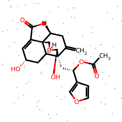 C=C1C[C@H]2OC(=O)C3=C[C@@H](O)C[C@@H]4[C@@]1(C[C@H](OC(C)=O)c1ccoc1)[C@H](O)OC[C@]342